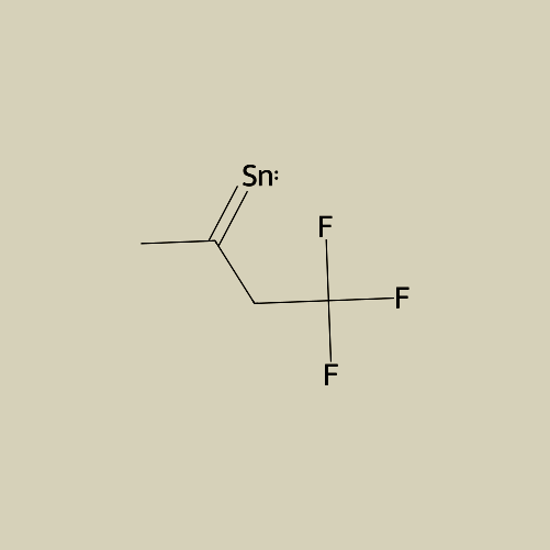 C[C](=[Sn])CC(F)(F)F